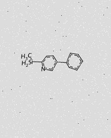 C[SiH2]c1ccc(-c2ccccc2)cn1